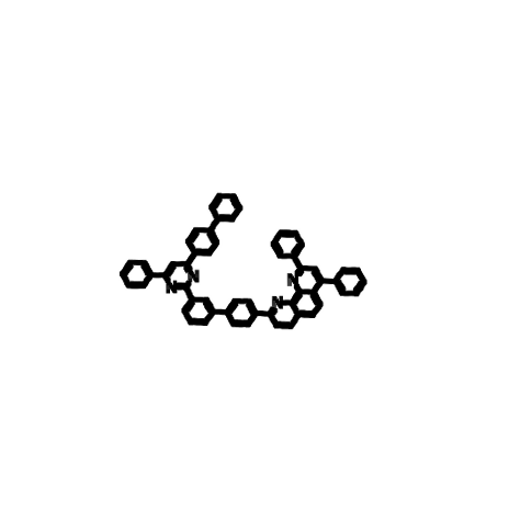 c1ccc(-c2ccc(-c3cc(-c4ccccc4)nc(-c4cccc(-c5ccc(-c6ccc7ccc8c(-c9ccccc9)cc(-c9ccccc9)nc8c7n6)cc5)c4)n3)cc2)cc1